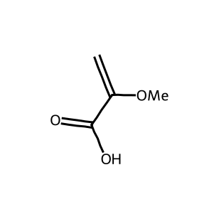 C=C(OC)C(=O)O